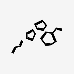 C1=CCC=C1.C1=CCC=C1.C=CC=C.C=Cc1ccccc1